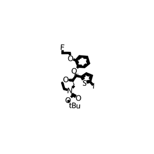 CC(C)(C)OC(=O)N1CCO[C@H]([C@@H](Oc2ccccc2OCCF)c2ccc(I)s2)C1